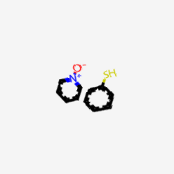 Sc1ccccc1.[O-][n+]1ccccc1